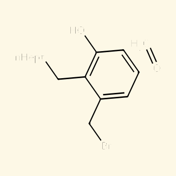 C=O.CCCCCCCCc1c(O)cccc1CBr